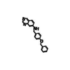 c1ccc(COc2ccc(CNc3ccc4cncnc4c3)cc2)cc1